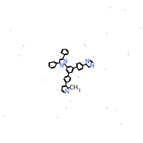 Cc1ncccc1-c1ccc(-c2cc(-c3ccc(-c4cnccn4)cc3)cc(-c3nc(-c4ccccc4)cc(-c4ccccc4)n3)c2)cc1